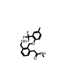 CNC(=O)Cc1cccc(CO)c1COc1ccc(C)cc1C(F)(F)F